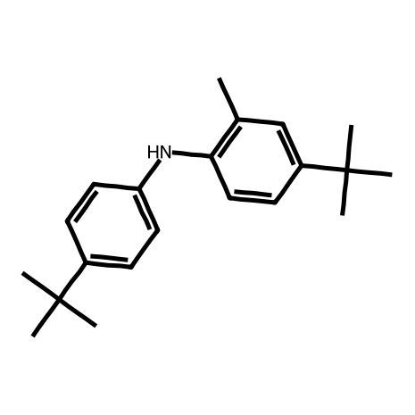 Cc1cc(C(C)(C)C)ccc1Nc1ccc(C(C)(C)C)cc1